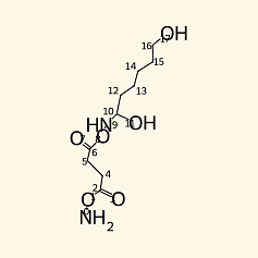 NOC(=O)CCC(=O)ONC(O)CCCCCO